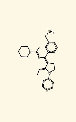 C/C=C1/C(=C(\N=C(/C)N2CCCCC2)c2cccc(SN)c2)CCN1c1ccncc1